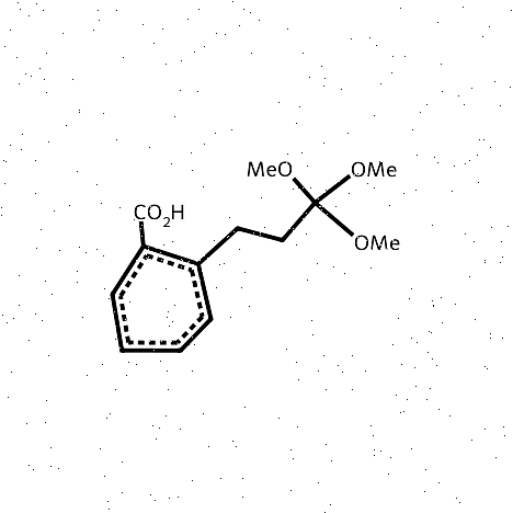 COC(CCc1ccccc1C(=O)O)(OC)OC